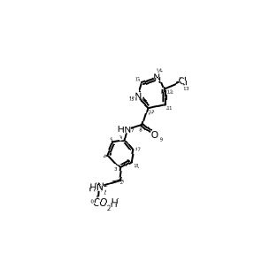 O=C(O)NCc1ccc(NC(=O)c2cc(Cl)ncn2)cc1